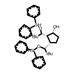 CC(C)(C)C(O[SiH](c1ccccc1)c1ccccc1)[C@@H]1[C@H](O)CC[C@@H]1C(O[SiH](c1ccccc1)c1ccccc1)C(C)(C)C